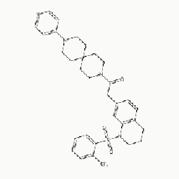 O=C(Cc1ccc2c(c1)N(S(=O)(=O)c1ccccc1C(F)(F)F)CCC2)N1CCC2(CC1)CCN(c1ccncc1)CC2